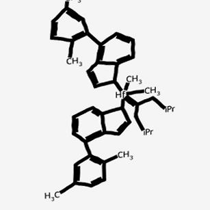 Cc1ccc(C)c(-c2cccc3c2C=C[CH]3[Hf]([CH3])([CH3])(=[C](CC(C)C)CC(C)C)[CH]2C=Cc3c(-c4cc(C)ccc4C)cccc32)c1